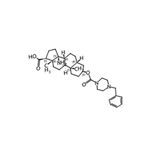 C[C@]12CC[C@H](OC(=O)N3CCN(Cc4ccccc4)CC3)C[C@H]1CC[C@@H]1[C@@H]2CC[C@]2(C)[C@@H](C(=O)O)CC[C@]12N